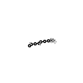 C[Si](C)(C)c1ccc(-c2ccc(-c3ccc4cc(-c5ccc(-c6cnc7ccccc7c6)cc5)cnc4c3)cc2)cc1